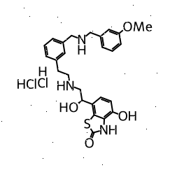 COc1cccc(CNCc2cccc(CCNC[C@H](O)c3ccc(O)c4[nH]c(=O)sc34)c2)c1.Cl.Cl